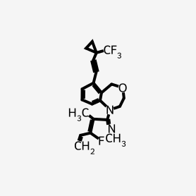 C=C/C(F)=C(C)/C(=N\C)N1CCOCc2c(C#CC3(C(F)(F)F)CC3)cccc21